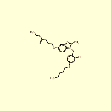 CCCCCOc1ccc(Cn2c(C)nc3cc(OCCCC(=O)OCC)ccc32)c(Cl)c1